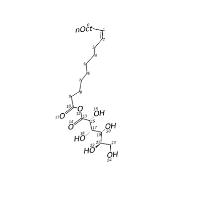 CCCCCCCC/C=C\CCCCCCCC(=O)OC(=O)[C@H](O)[C@@H](O)[C@H](O)[C@H](O)CO